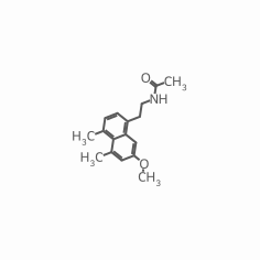 COc1cc(C)c2c(C)ccc(CCNC(C)=O)c2c1